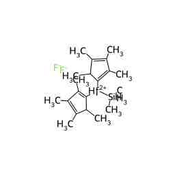 CC1=C(C)C(C)[C]([Hf+2]([C]2=C(C)C(C)=C(C)C2C)[SiH](C)C)=C1C.[F-].[F-]